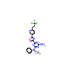 CN(c1ccccc1)c1nc(N)nc(-c2noc(-c3ccc(CCC(F)(F)F)nc3)n2)n1